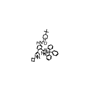 CC(C)(C)C1CCN(C(=O)Nc2ccc(-c3cnn(C4CCC4)c3)c(-c3nnn(C(c4ccccc4)(c4ccccc4)c4ccccc4)n3)c2)CC1